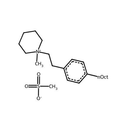 CCCCCCCCc1ccc(CC[N+]2(C)CCCCC2)cc1.CS(=O)(=O)[O-]